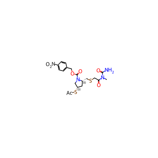 CC(=O)S[C@H]1C[C@@H](CSCC(=O)N(C)C(N)=O)N(C(=O)OCc2ccc([N+](=O)[O-])cc2)C1